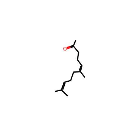 CC(=O)CC/C=C(/C)CCC=C(C)C